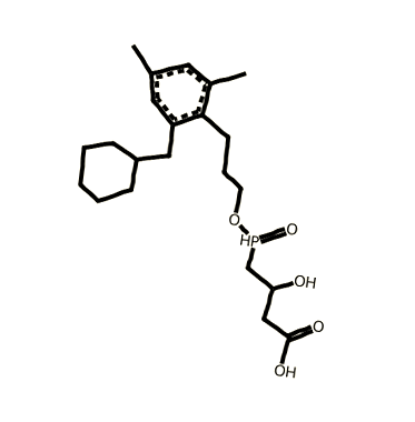 Cc1cc(C)c(CCCO[PH](=O)CC(O)CC(=O)O)c(CC2CCCCC2)c1